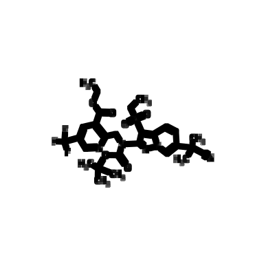 CCOC(=O)c1cc(C(F)(F)F)cnc1CN(C(=O)OC(C)(C)C)c1nn2cc(C(C)(C)C#N)ccc2c1S(=O)(=O)CC